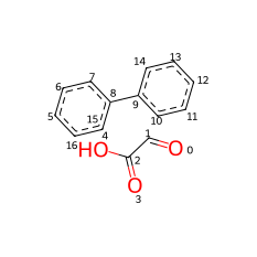 O=CC(=O)O.c1ccc(-c2ccccc2)cc1